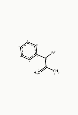 C=C(C)C(Br)c1ccccc1